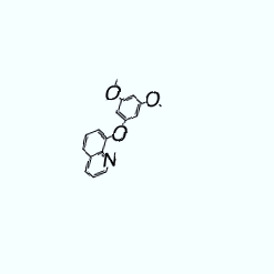 COc1cc(OC)cc(Oc2cccc3cccnc23)c1